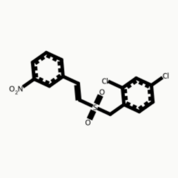 O=[N+]([O-])c1cccc(C=CS(=O)(=O)Cc2ccc(Cl)cc2Cl)c1